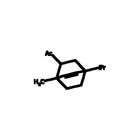 CC(=O)C1CC2(C(C)C)C=CC1(C)CC2